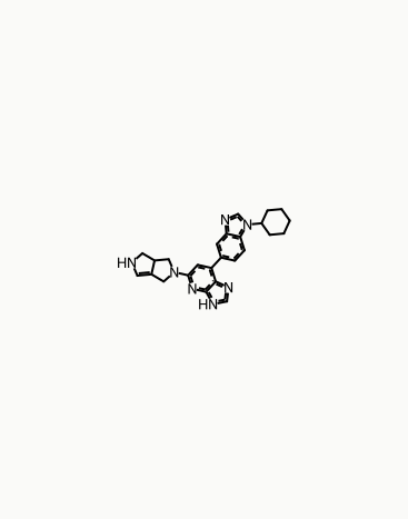 C1=C2CN(c3cc(-c4ccc5c(c4)ncn5C4CCCCC4)c4nc[nH]c4n3)CC2CN1